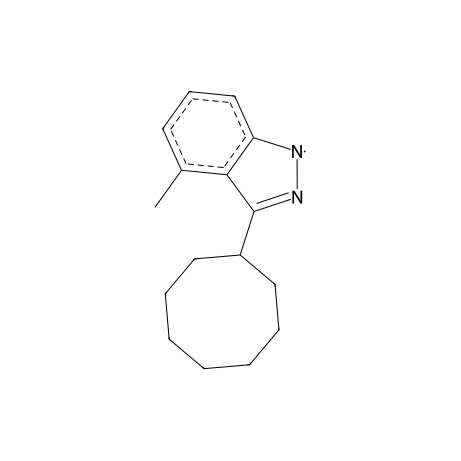 Cc1cccc2c1C(C1CCCCCCC1)=N[N]2